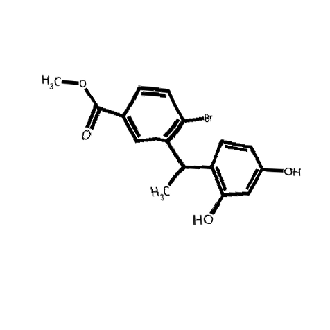 COC(=O)c1ccc(Br)c(C(C)c2ccc(O)cc2O)c1